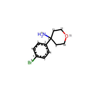 NC1(c2ccc(Br)cc2)CCOCC1